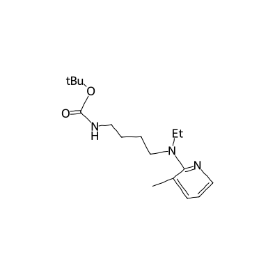 CCN(CCCCNC(=O)OC(C)(C)C)c1ncccc1C